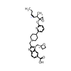 CC/C=C\C(C)C1(Oc2cccc(C3CCN(Cc4nc5ccc(C(=O)O)cc5n4C[C@@H]4CCO4)CC3)n2)CO1